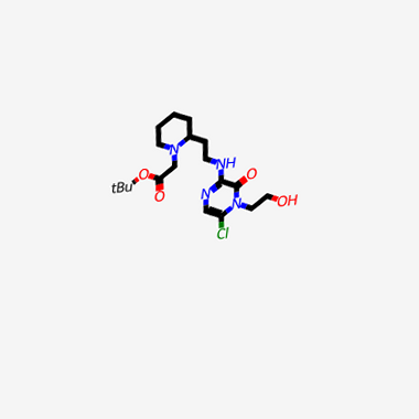 CC(C)(C)OC(=O)CN1CCCCC1CCNc1ncc(Cl)n(CCO)c1=O